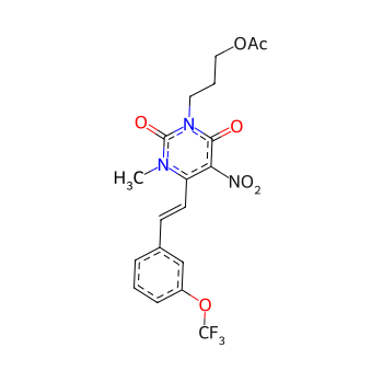 CC(=O)OCCCn1c(=O)c([N+](=O)[O-])c(C=Cc2cccc(OC(F)(F)F)c2)n(C)c1=O